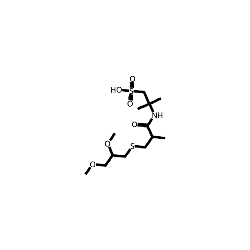 COCC(CSCC(C)C(=O)NC(C)(C)CS(=O)(=O)O)OC